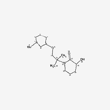 CC(C)(C)N1CCCC(OCC(C)(C)N2CCCC(O)C2=O)C1